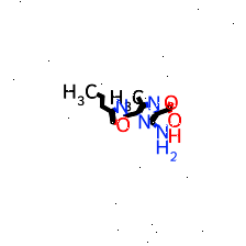 CCCc1coc(-c2nc(N)c(C(=O)O)nc2C)n1